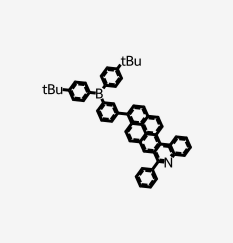 CC(C)(C)c1ccc(B(c2ccc(C(C)(C)C)cc2)c2cccc(-c3ccc4ccc5c6c(cc7ccc3c4c75)c(-c3ccccc3)nc3ccccc36)c2)cc1